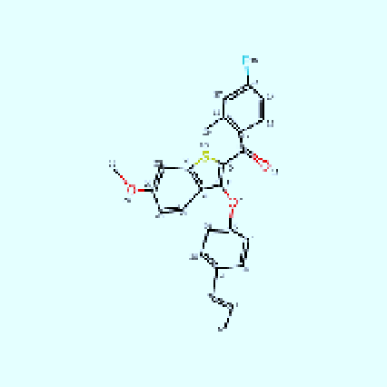 C/C=C/c1ccc(Oc2c(C(=O)c3ccc(F)cc3C)sc3cc(OC)ccc23)cc1